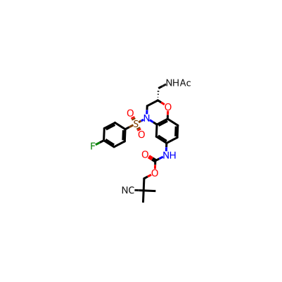 CC(=O)NC[C@H]1CN(S(=O)(=O)c2ccc(F)cc2)c2cc(NC(=O)OCC(C)(C)C#N)ccc2O1